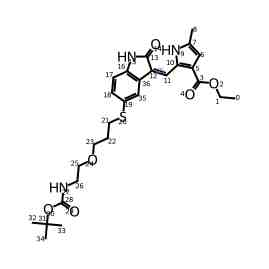 CCOC(=O)c1cc(C)[nH]c1/C=C1\C(=O)Nc2ccc(SCCCOCCNC(=O)OC(C)(C)C)cc21